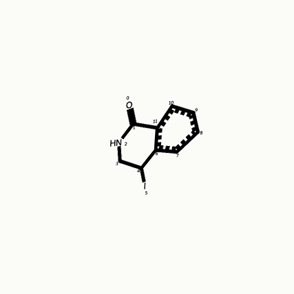 O=C1NCC(I)c2ccccc21